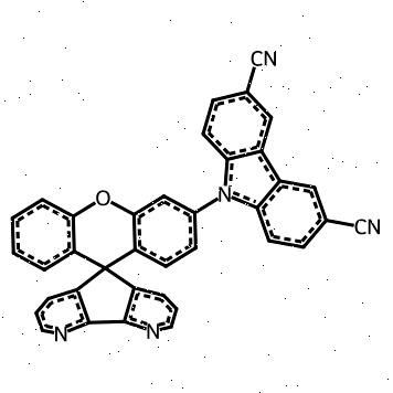 N#Cc1ccc2c(c1)c1cc(C#N)ccc1n2-c1ccc2c(c1)Oc1ccccc1C21c2cccnc2-c2ncccc21